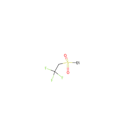 CCS(=O)(=O)CC(F)(F)F